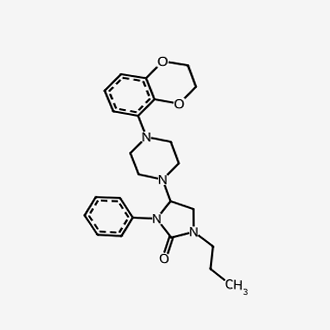 CCCN1CC(N2CCN(c3cccc4c3OCCO4)CC2)N(c2ccccc2)C1=O